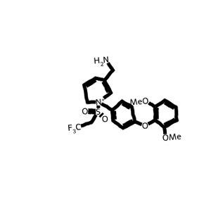 COc1cccc(OC)c1Oc1ccc([N+]2(S(=O)(=O)CC(F)(F)F)C=C(CN)C=CC2)cc1